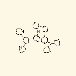 c1ccc(-n2c3cc(-c4cccc5c6ccccc6n(-c6cccc(-c7cc(-c8ccccn8)cc(-c8ccccn8)c7)c6)c45)ccc3c3cccnc32)cc1